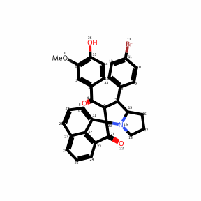 COc1cc(C(=O)C2C(c3ccc(Br)cc3)C3CCCN3C23C(=O)c2cccc4cccc3c24)ccc1O